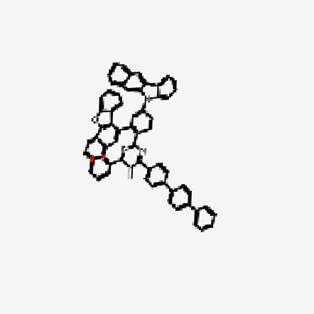 c1ccc(-c2ccc(-c3ccc(C4=NC(c5ccc(-n6c7ccccc7c7cc8ccccc8cc76)cc5-c5cc6ccccc6c6oc7ccccc7c56)=NC(c5ccccc5)N4)cc3)cc2)cc1